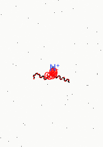 CC/C=C\C/C=C\C/C=C\C/C=C\C/C=C\C/C=C\CCC(=O)OC[C@H](COP(=O)([O-])OCC[N+](C)(C)C)OC(=O)CC/C=C\C/C=C\C/C=C\C/C=C\C/C=C\C/C=C\CC